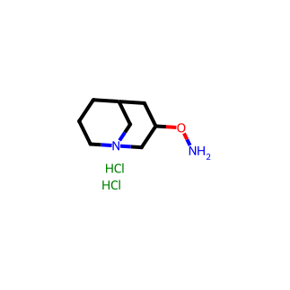 Cl.Cl.NOC1CC2CCCN(C2)C1